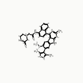 COc1cc2c(cc1-c1c(C)noc1C)[nH]c1nc(C)nc(-c3ccc(NC(=O)CN4CCNC(=O)C4)c4ccccc34)c12